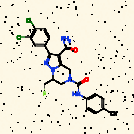 N#Cc1ccc(NC(=O)N2Cc3c(C(N)=O)c(-c4ccc(Cl)c(Cl)c4)nn3C(CF)C2)cc1